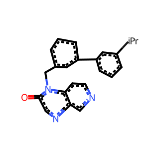 CC(C)c1cccc(-c2cccc(Cn3c(=O)cnc4cnccc43)c2)c1